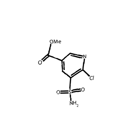 COC(=O)c1cnc(Cl)c(S(N)(=O)=O)c1